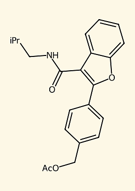 CC(=O)OCc1ccc(-c2oc3ccccc3c2C(=O)NCC(C)C)cc1